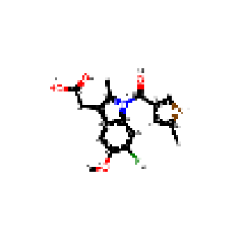 COc1cc2c(CC(=O)O)c(C)n(C(=O)c3csc(C)c3)c2cc1F